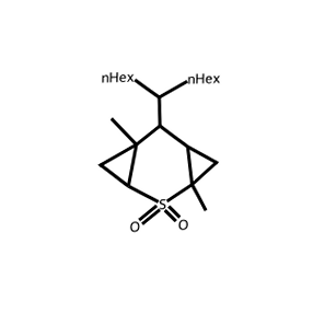 CCCCCCC(CCCCCC)C1C2CC2(C)S(=O)(=O)C2CC12C